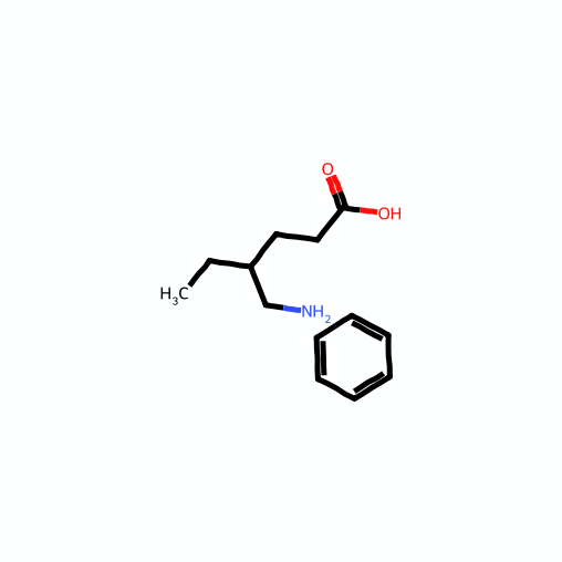 CCC(CN)CCC(=O)O.c1ccccc1